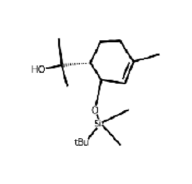 CC1=CC(O[Si](C)(C)C(C)(C)C)[C@H](C(C)(C)O)CC1